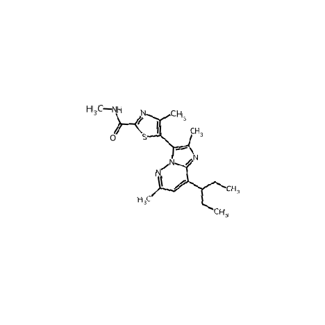 CCC(CC)c1cc(C)nn2c(-c3sc(C(=O)NC)nc3C)c(C)nc12